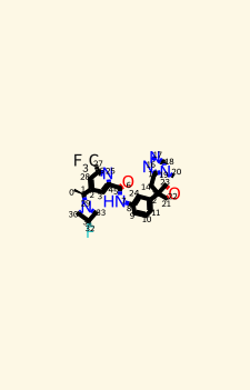 C[C@@H](c1cc(C(=O)Nc2cccc(C3(Cc4nncn4C)COC3)c2)nc(C(F)(F)F)c1)N1CC(F)C1